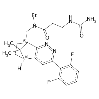 CCN(C[C@]12CC[C@H](c3cc(-c4c(F)cccc4F)nnc31)C2(C)C)C(=O)CCNC(N)=O